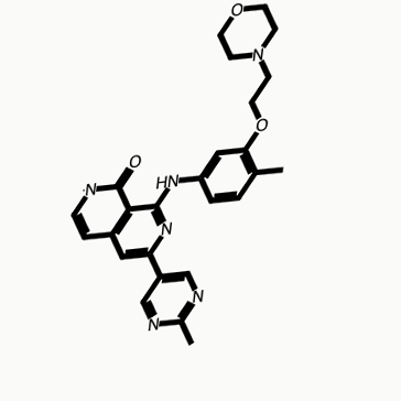 Cc1ncc(-c2cc3c(c(Nc4ccc(C)c(OCCN5CCOCC5)c4)n2)C(=O)[N]C=C3)cn1